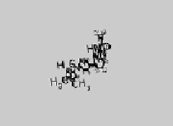 Cc1cc(N(C)c2ccc(-c3cccc4nc(NC(=O)C5CC5)nn34)cn2)nn1C